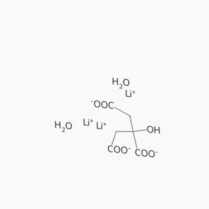 O.O.O=C([O-])CC(O)(CC(=O)[O-])C(=O)[O-].[Li+].[Li+].[Li+]